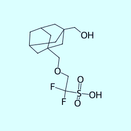 O=S(=O)(O)C(F)(F)COCC12CC3CC(CC(CO)(C3)C1)C2